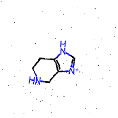 C1=[N+]C2=C(CCNC2)N1